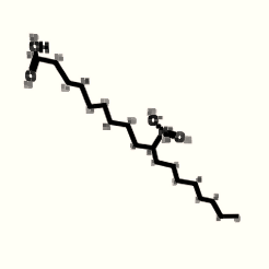 CCCCCCCCC(CCCCCCCCC(=O)O)[N+](=O)[O-]